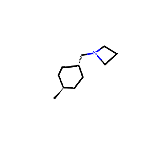 C[C@H]1CC[C@H](CN2CCC2)CC1